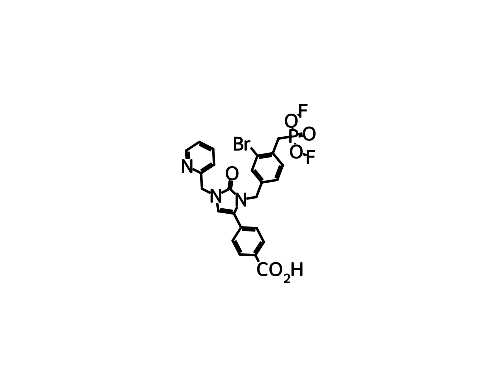 O=C(O)c1ccc(-c2cn(Cc3ccccn3)c(=O)n2Cc2ccc(CP(=O)(OF)OF)c(Br)c2)cc1